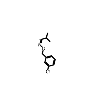 CC(C)/[C]=N\OCc1cccc(Cl)c1